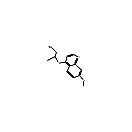 COc1ccc2c(OC(C)CO)ccnc2c1